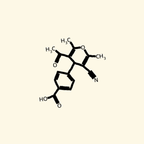 CC(=O)C1=C(C)OC(C)=C(C#N)C1c1ccc(C(=O)O)cc1